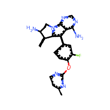 C=C1c2c(-c3ccc(Oc4nccc(C)n4)c(F)c3)c3c(N)ncnc3n2CC1N